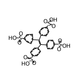 O=S(=O)(O)c1ccc(C(=C(c2ccc(S(=O)(=O)O)cc2)c2ccc(S(=O)(=O)O)cc2)c2ccc(S(=O)(=O)O)cc2)cc1